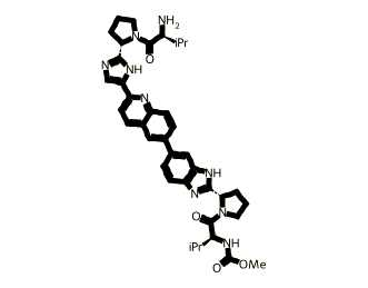 COC(=O)N[C@H](C(=O)N1CCC[C@H]1c1nc2ccc(-c3ccc4nc(-c5cnc([C@@H]6CCCN6C(=O)[C@@H](N)C(C)C)[nH]5)ccc4c3)cc2[nH]1)C(C)C